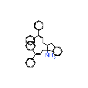 NC1(CC=C(c2ccccc2)c2ccccc2)c2ccccc2CC1CC=C(c1ccccc1)c1ccccc1